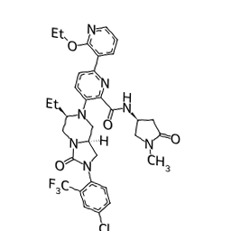 CCOc1ncccc1-c1ccc(N2C[C@H]3CN(c4ccc(Cl)cc4C(F)(F)F)C(=O)N3C[C@H]2CC)c(C(=O)N[C@H]2CC(=O)N(C)C2)n1